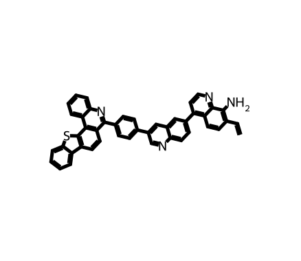 C=Cc1ccc2c(-c3ccc4ncc(-c5ccc(-c6nc7ccccc7c7c6ccc6c8ccccc8sc67)cc5)cc4c3)ccnc2c1N